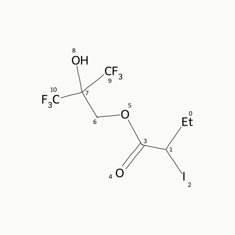 CCC(I)C(=O)OCC(O)(C(F)(F)F)C(F)(F)F